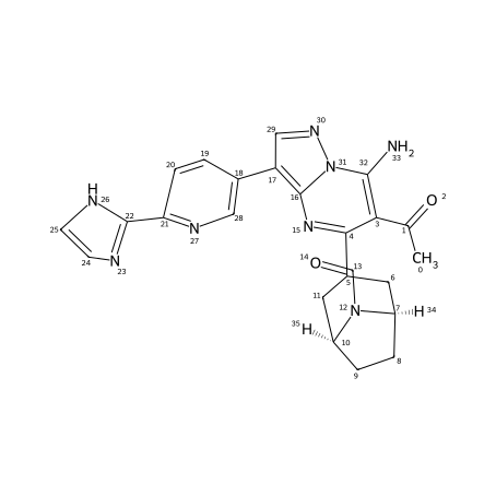 CC(=O)c1c(C2C[C@H]3CC[C@@H](C2)N3C=O)nc2c(-c3ccc(-c4ncc[nH]4)nc3)cnn2c1N